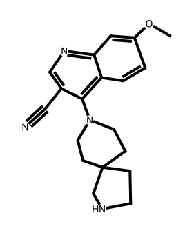 COc1ccc2c(N3CCC4(CCNC4)CC3)c(C#N)cnc2c1